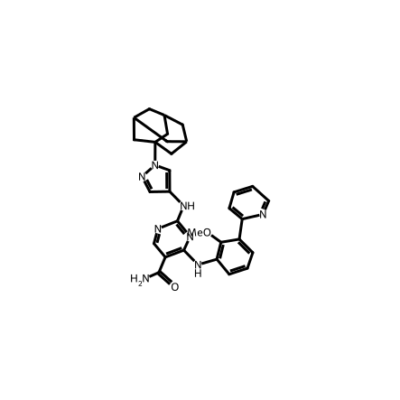 COc1c(Nc2nc(Nc3cnn(C45CC6CC(CC(C6)C4)C5)c3)ncc2C(N)=O)cccc1-c1ccccn1